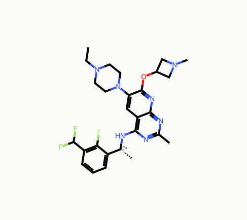 CCN1CCN(c2cc3c(N[C@H](C)c4cccc(C(F)F)c4F)nc(C)nc3nc2OC2CN(C)C2)CC1